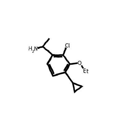 CCOc1c(C2CC2)ccc(C(C)N)c1Cl